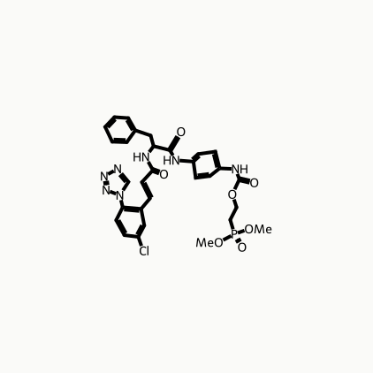 COP(=O)(CCOC(=O)Nc1ccc(NC(=O)C(Cc2ccccc2)NC(=O)C=Cc2cc(Cl)ccc2-n2cnnn2)cc1)OC